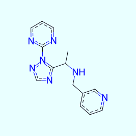 CC(NCc1cccnc1)c1ncnn1-c1ncccn1